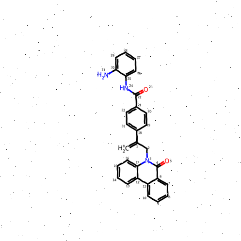 C=C(Cn1c(=O)c2ccccc2c2ccccc21)c1ccc(C(=O)Nc2ccccc2N)cc1